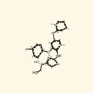 OC[C@H](O)c1csc(Nc2ncc(Sc3ccccn3)cc2Oc2ccc(F)cc2)n1